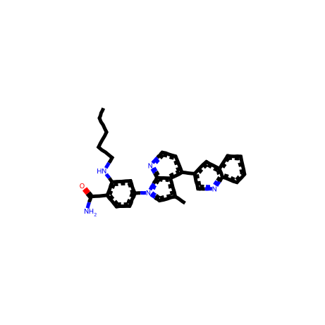 CCCCCNc1cc(-n2cc(C)c3c(-c4cnc5ccccc5c4)ccnc32)ccc1C(N)=O